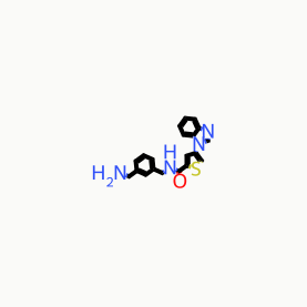 NCc1cccc(CNC(=O)c2cc(-n3cnc4ccccc43)cs2)c1